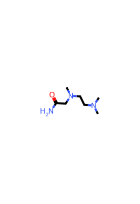 CN(C)CCN(C)CC(N)=O